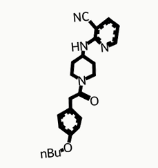 CCCCOc1ccc(CC(=O)N2CCC(Nc3ncccc3C#N)CC2)cc1